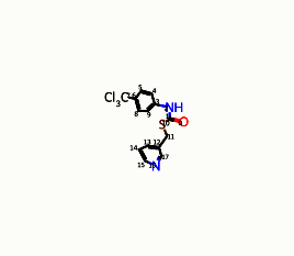 O=C(Nc1ccc(C(Cl)(Cl)Cl)cc1)SCc1cccnc1